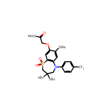 CCCCC1(CCCC)CN(c2ccc(C(F)(F)F)cc2)c2cc(SC)c(OCC(=O)OC)cc2S(=O)(=O)C1